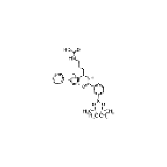 CC1(C)OB(c2cccc(C(=O)NC(CCCNC(=O)O)c3ncc(-c4ccccc4)o3)c2)OC1(C)C